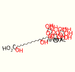 CCCCCCC(CCCC(O)CCCCCCCCCCCCCC(O)C(=O)O)OC1OCC(O)C(O)C1OC1OCC(OC(C)=O)C(O)C1OC1OC(CO)C(O)C(O)C1O